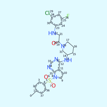 Cc1ccc(S(=O)(=O)n2ccc3c(NC4CCCN(C(=O)CNc5cc(F)cc(Cl)c5)C4)ncnc32)cc1